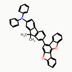 CC1(C)c2cc(-c3cc4oc5ccccc5c4c4oc5ccccc5c34)ccc2-c2ccc(N(c3ccccc3)c3ccccc3)cc21